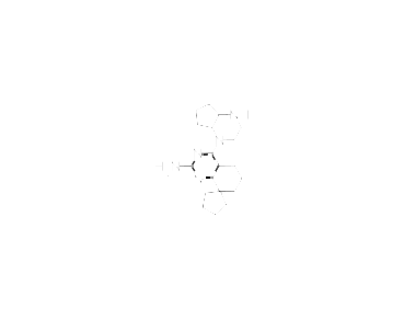 Nc1nc(N2CCNC3CCCC32)c2c(n1)C1(CCCC1)CCC2